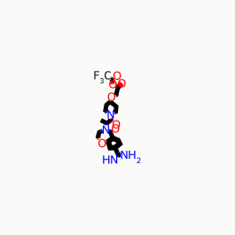 CC(C(=O)N1CCC(OCC(=O)OC(=O)C(F)(F)F)CC1)N1CCOc2cc(C(=N)N)ccc2C1=O